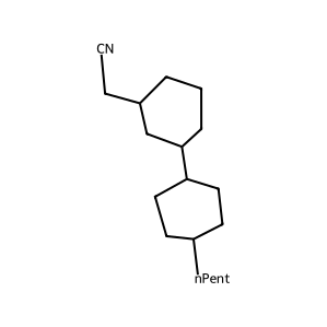 CCCCCC1CCC(C2CCCC(CC#N)C2)CC1